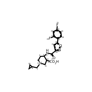 O=C(NC1CCN(CC2CC2)CC1C(=O)O)c1cc(-c2ccc(F)cc2F)on1